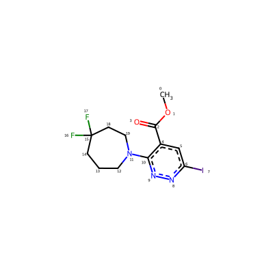 COC(=O)c1cc(I)nnc1N1CCCC(F)(F)CC1